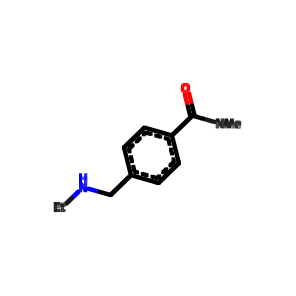 CCNCc1ccc(C(=O)NC)cc1